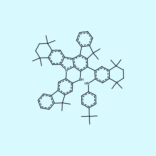 CC(C)(C)c1ccc(Nc2cc3c(cc2-c2c4c(c5c6cc7c(cc6n6c5c2Bc2cc5c(cc2-6)-c2ccccc2C5(C)C)C(C)(C)CCC7(C)C)-c2ccccc2C4(C)C)C(C)(C)CCC3(C)C)cc1